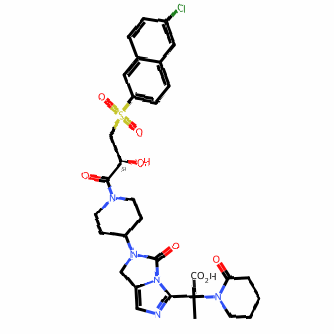 CC(C(=O)O)(c1ncc2n1C(=O)N(C1CCN(C(=O)[C@H](O)CS(=O)(=O)c3ccc4cc(Cl)ccc4c3)CC1)C2)N1CCCCC1=O